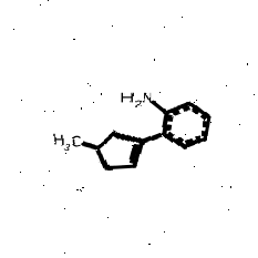 CC1CC=C(c2ccccc2N)C1